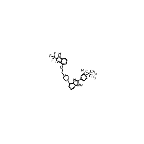 CC(C)(C)c1ccc(-c2nc3c(N4CCN(CCOc5cccc6[nH]c(C(F)(F)F)nc56)CC4)cccc3[nH]2)cc1